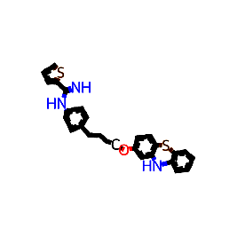 N=C(Nc1ccc(CCCCOc2ccc3c(c2)Nc2ccccc2S3)cc1)c1cccs1